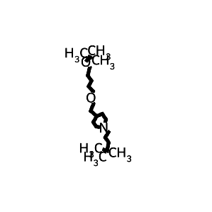 CC(C)(C)CCCN1CCC(CCOCCCCCOC(C)(C)C)CC1